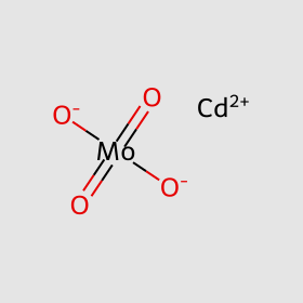 [Cd+2].[O]=[Mo](=[O])([O-])[O-]